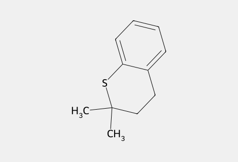 CC1(C)CCc2ccccc2S1